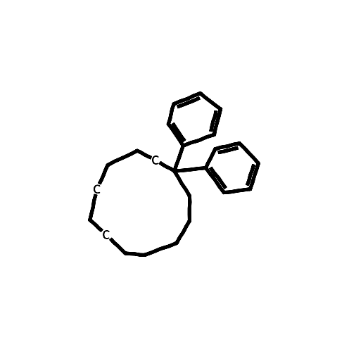 c1ccc(C2(c3ccccc3)CCCCCCCCCCC2)cc1